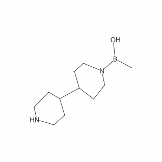 CB(O)N1CCC(C2CCNCC2)CC1